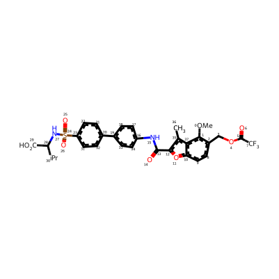 COc1c(COC(=O)C(F)(F)F)ccc2oc(C(=O)Nc3ccc(-c4ccc(S(=O)(=O)NC(C(=O)O)C(C)C)cc4)cc3)c(C)c12